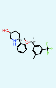 Cc1cc([C@@H](C)OC[C@@]2(c3ccccc3)CCC(O)CN2)cc(C(F)(F)F)c1